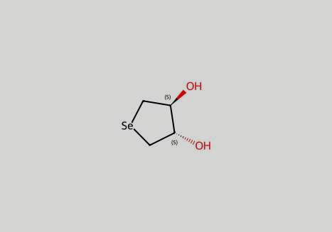 O[C@@H]1C[Se]C[C@H]1O